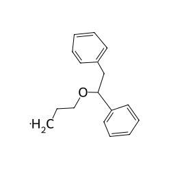 [CH2]CCOC(Cc1ccccc1)c1ccccc1